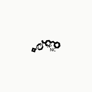 C=C(C1=CC=C(CC2=CC=C=CC(C#N)=C2)SN=C1)N1CCCN(C2CCC2)CC1